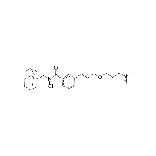 CNCCCOCCCc1cccc(C(=O)N(Cl)CC23CC4CC(CC(C4)C2)C3)c1